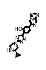 Oc1cc(-c2cn3ncnc3cn2)ccc1-c1cnc(N2CCN[C@@H](C3CC3)C2)nn1